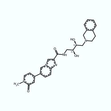 Cn1ccc(-c2ccc3nc(C(=O)NC[C@H](O)[C@@H](O)CN4CCc5ccccc5C4)cn3c2)cc1=O